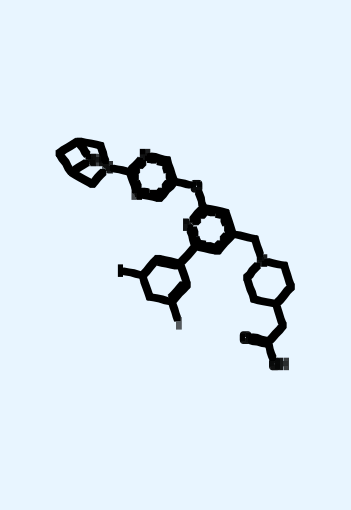 O=C(O)CC1CCN(Cc2cc(Oc3cnc(N4CC5CC(C4)N5)nc3)nc(C3=CC(I)CC(I)=C3)c2)CC1